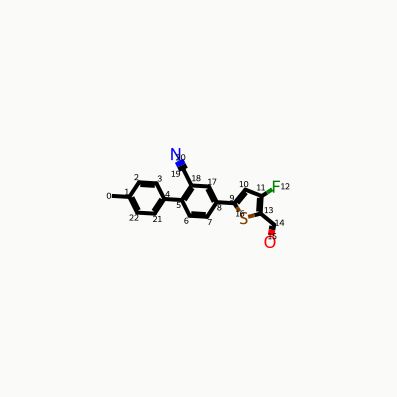 Cc1ccc(-c2ccc(-c3cc(F)c(C=O)s3)cc2C#N)cc1